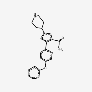 NC(=O)c1cn(C2CCNCC2)nc1-c1ccc(Oc2ccccc2)cc1